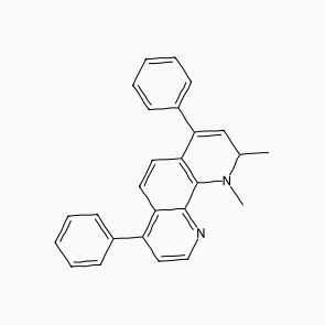 CC1C=C(c2ccccc2)c2ccc3c(-c4ccccc4)ccnc3c2N1C